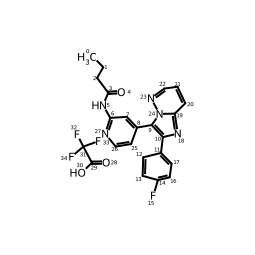 CCCC(=O)Nc1cc(-c2c(-c3ccc(F)cc3)nc3cccnn23)ccn1.O=C(O)C(F)(F)F